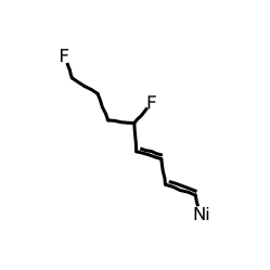 FCCCC(F)C=CC=[CH][Ni]